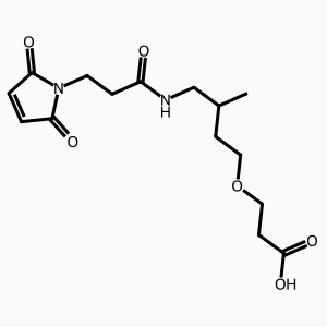 CC(CCOCCC(=O)O)CNC(=O)CCN1C(=O)C=CC1=O